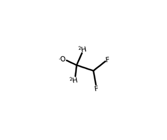 [2H]C([2H])([O])C(F)F